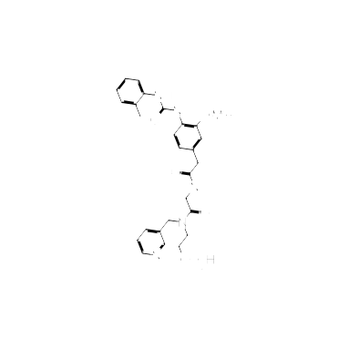 COc1cc(CC(=O)NCC(=O)N(CCC(=O)O)Cc2cccnc2)ccc1NC(=O)Nc1ccccc1C